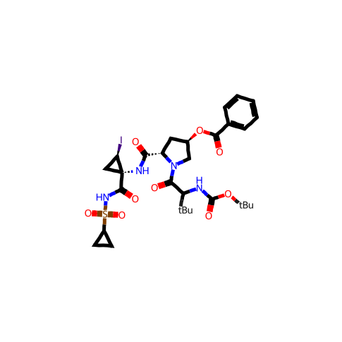 CC(C)(C)OC(=O)NC(C(=O)N1C[C@H](OC(=O)c2ccccc2)C[C@H]1C(=O)N[C@]1(C(=O)NS(=O)(=O)C2CC2)C[C@H]1I)C(C)(C)C